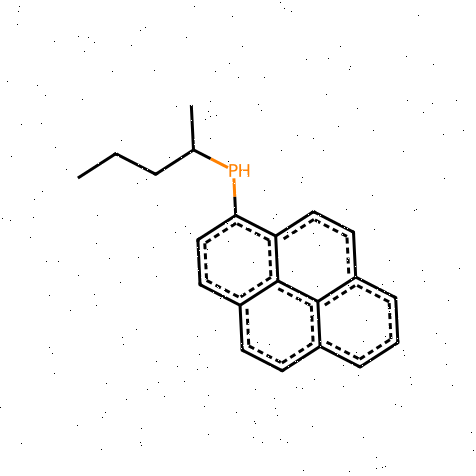 CCCC(C)Pc1ccc2ccc3cccc4ccc1c2c34